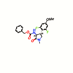 COc1cc(F)c([C@@H]2CN(C)C(=O)[C@H]2NC(=O)OCc2ccccc2)c(F)c1